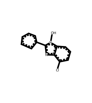 On1c(-c2ccccc2)nc2c(Cl)cccc21